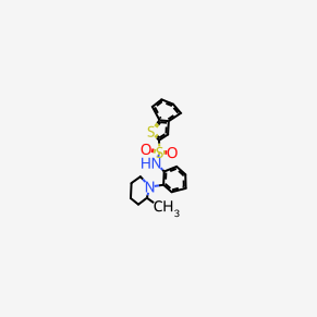 CC1CCCCN1c1ccccc1NS(=O)(=O)c1cc2ccccc2s1